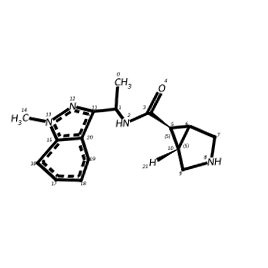 CC(NC(=O)[C@H]1C2CNC[C@@H]21)c1nn(C)c2ccccc12